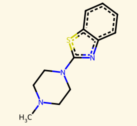 CN1CCN(c2nc3ccccc3s2)CC1